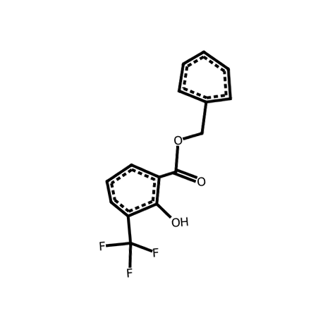 O=C(OCc1ccccc1)c1cccc(C(F)(F)F)c1O